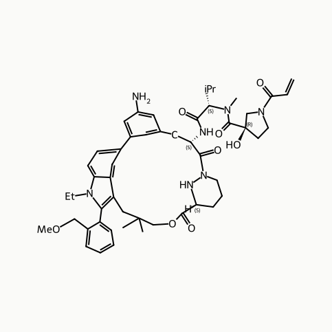 C=CC(=O)N1CC[C@](O)(C(=O)N(C)[C@H](C(=O)N[C@H]2Cc3cc(N)cc(c3)-c3ccc4c(c3)c(c(-c3ccccc3COC)n4CC)CC(C)(C)COC(=O)[C@@H]3CCCN(N3)C2=O)C(C)C)C1